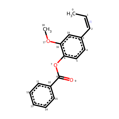 C/C=C\c1ccc(OC(=O)c2ccccc2)c(OC)c1